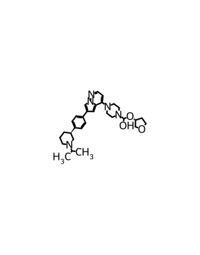 CC(C)N1CCC[C@@H](c2ccc(-c3cc4c(N5CCN(C(O)O[C@H]6CCOC6)CC5)ccnn4c3)cc2)C1